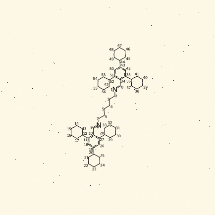 C(=NCCCCCCN=Cc1c(C2CCCCC2)cc(C2CCCCC2)cc1C1CCCCC1)c1c(C2CCCCC2)cc(C2CCCCC2)cc1C1CCCCC1